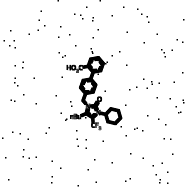 CCCCc1c(C(F)(F)F)n(C2CCCCC2)c(=O)n1Cc1ccc(-c2ccccc2C(=O)O)cc1